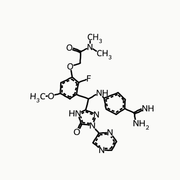 COc1cc(OCC(=O)N(C)C)c(F)c(C(Nc2ccc(C(=N)N)cc2)c2nn(-c3cnccn3)c(=O)[nH]2)c1